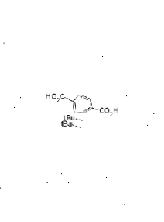 CC(C)(C)C.CC(C)(C)C.O=C(O)c1ccc(C(=O)O)cc1